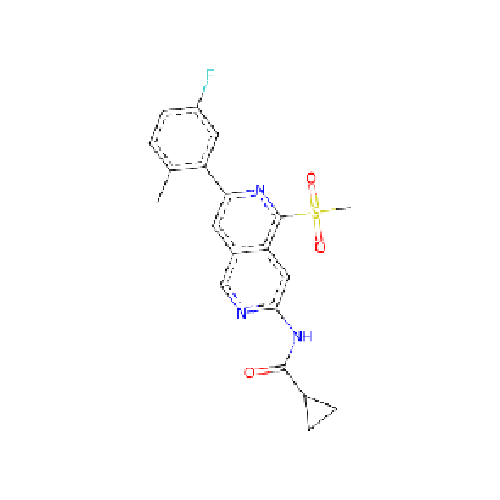 Cc1ccc(F)cc1-c1cc2cnc(NC(=O)C3CC3)cc2c(S(C)(=O)=O)n1